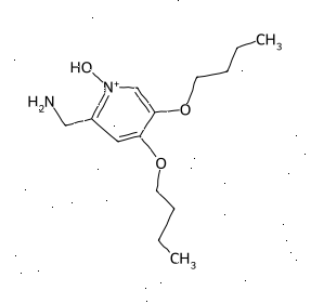 CCCCOc1cc(CN)[n+](O)cc1OCCCC